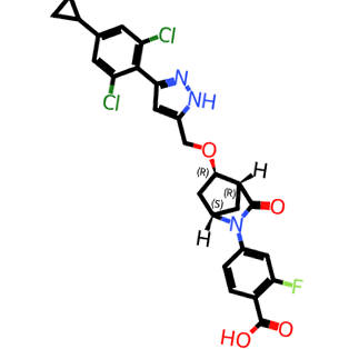 O=C(O)c1ccc(N2C(=O)[C@@H]3C[C@H]2C[C@H]3OCc2cc(-c3c(Cl)cc(C4CC4)cc3Cl)n[nH]2)cc1F